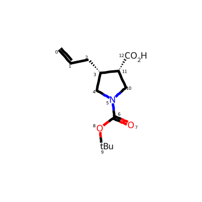 C=CC[C@H]1CN(C(=O)OC(C)(C)C)C[C@H]1C(=O)O